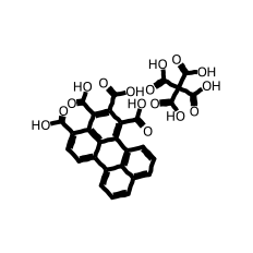 O=C(O)C(C(=O)O)(C(=O)O)C(=O)O.O=C(O)c1c(C(=O)O)c2c(C(=O)O)ccc3c4cccc5cccc(c(c1C(=O)O)c23)c54